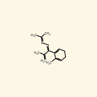 C=C(C)/C(=N\N=C(C)C)C1=CCCC=C1C